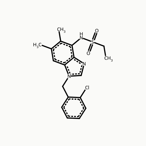 CCS(=O)(=O)Nc1c(C)c(C)cc2c1ncn2Cc1ccccc1Cl